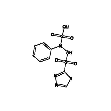 O=S(=O)(NN(c1ccccc1)S(=O)(=O)O)c1nncs1